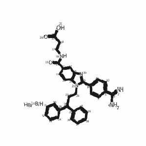 Br.Br.N=C(N)c1ccc(-c2nc3cc(C(=O)NCCC(=O)O)ccc3n2CCC(c2ccccc2)c2ccccc2)cc1